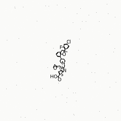 C[C@]1(c2ccc(Cl)cc2F)Cc2cccc(C3CCN(Cc4nc5sc(C(=O)O)cc5n4C[C@@H]4CCO4)CC3)c2O1